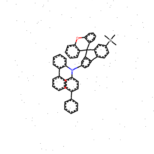 C[Si](C)(C)c1ccc2c(c1)C1(c3ccccc3Oc3ccccc31)c1cc(N(c3ccc(-c4ccccc4)cc3)c3ccccc3-c3ccccc3)ccc1-2